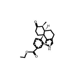 CCOC(=O)c1ccc([C@@]23CCC(=O)[C@@H](C)[C@H]2CCc2c[nH]nc23)cc1